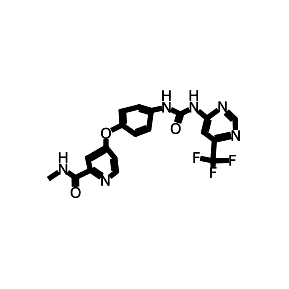 CNC(=O)c1cc(Oc2ccc(NC(=O)Nc3cc(C(F)(F)F)ncn3)cc2)ccn1